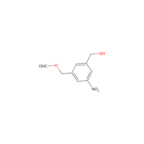 O=COCc1cc(CO)cc([N+](=O)[O-])c1